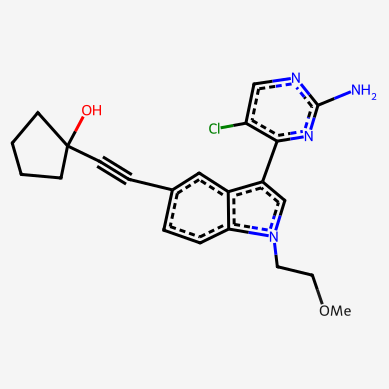 COCCn1cc(-c2nc(N)ncc2Cl)c2cc(C#CC3(O)CCCC3)ccc21